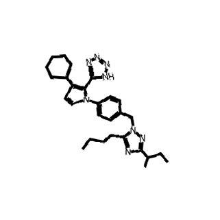 CCCCc1nc(C(C)CC)nn1Cc1ccc(-n2ccc(C3CCCCC3)c2-c2nnn[nH]2)cc1